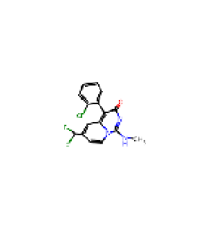 CNc1nc(=O)c(-c2ccccc2Cl)c2cc(C(F)F)ccn12